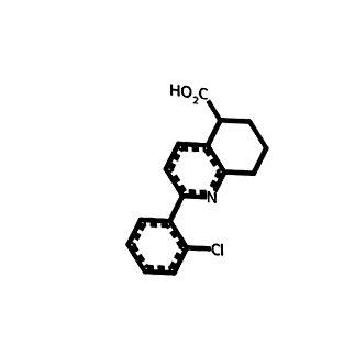 O=C(O)C1CCCc2nc(-c3ccccc3Cl)ccc21